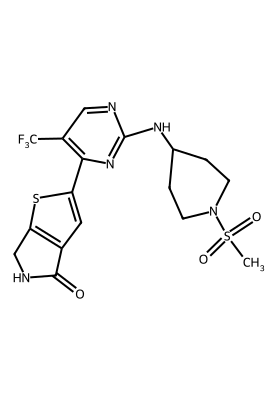 CS(=O)(=O)N1CCC(Nc2ncc(C(F)(F)F)c(-c3cc4c(s3)CNC4=O)n2)CC1